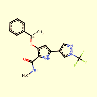 CNC(=O)c1[nH]c(-c2cnn(C(F)(F)F)c2)cc1O[C@@H](C)c1ccccc1